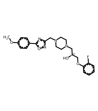 COc1ccc(-c2nc(CN3CCN(C[C@H](O)COc4ccccc4F)CC3)no2)cc1